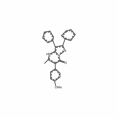 COc1ccc(-c2c(C)[nH]c3c(-c4ccccc4)c(-c4ccccc4)nn3c2=O)cc1